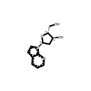 OC[C@H]1O[C@H](n2ccc3cccnc32)C[C@@H]1O